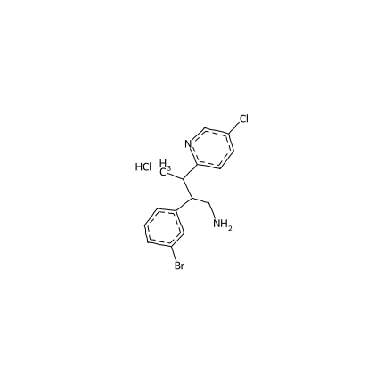 CC(c1ccc(Cl)cn1)C(CN)c1cccc(Br)c1.Cl